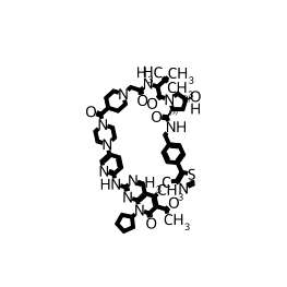 CC(=O)c1c(C)c2cnc(Nc3ccc(N4CCN(C(=O)C5CCN(CC(=O)NC(C(=O)N6C[C@H](O)C[C@H]6C(=O)NCc6ccc(-c7scnc7C)cc6)C(C)(C)C)CC5)CC4)cn3)nc2n(C2CCCC2)c1=O